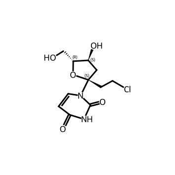 O=c1ccn([C@@]2(CCCl)C[C@H](O)[C@@H](CO)O2)c(=O)[nH]1